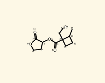 CC(C)CC1(C(=O)OC2CCOC2=O)CCC1C